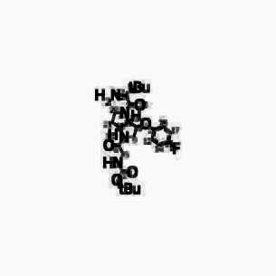 CC(C)(C)OC(=O)NCC(=O)N1C[C@H](Oc2ccc(F)cc2)[C@@H]2[C@H]1CCN2C(=O)[C@@H](N)C(C)(C)C